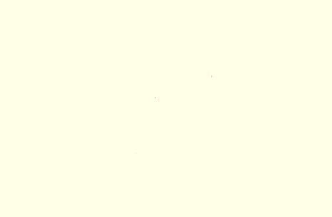 O=C(O)NC1CCN(S(=O)(=O)c2ccccc2Br)CC1